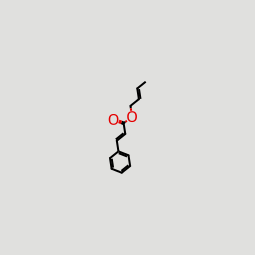 CC=CCOC(=O)/C=C/c1ccccc1